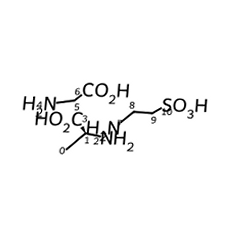 C[C@H](N)C(=O)O.NCC(=O)O.NCCS(=O)(=O)O